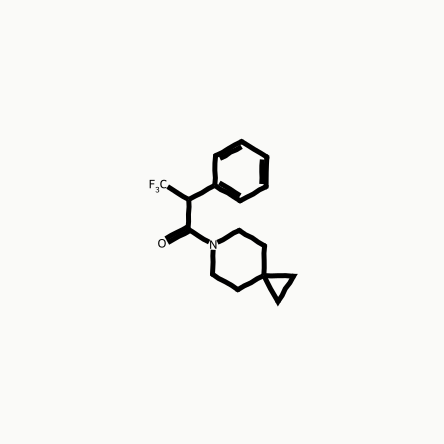 O=C(C(c1ccccc1)C(F)(F)F)N1CCC2(CC1)CC2